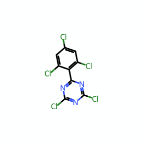 Clc1cc(Cl)c(-c2nc(Cl)nc(Cl)n2)c(Cl)c1